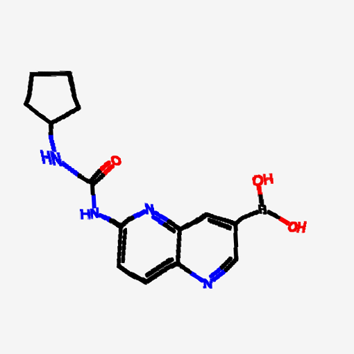 O=C(Nc1ccc2ncc(B(O)O)cc2n1)NC1CCCC1